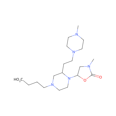 CN1CCN(CCC2CN(CCCC(=O)O)CCN2C2CN(C)C(=O)O2)CC1